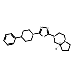 c1ccc(C2CCN(c3nnc(N4CCN5CCC[C@H]5C4)s3)CC2)cc1